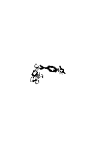 Cc1cc(C)n(-c2ccc(C3CN(C(=O)N4CCC5OCC(=O)N[C@@H]5C4)C3)cc2)n1